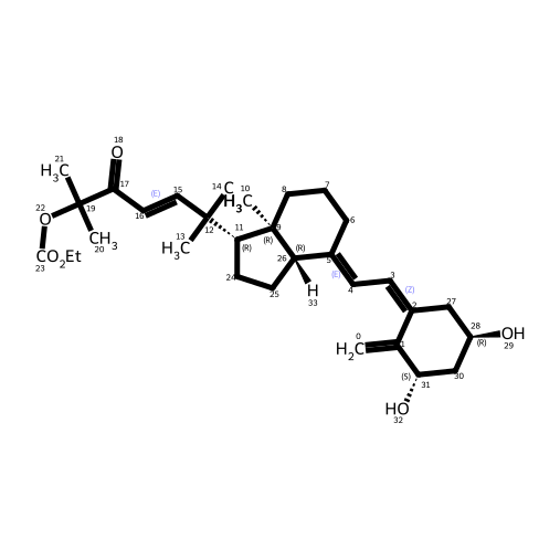 C=C1/C(=C\C=C2/CCC[C@]3(C)[C@@H](C(C)(C)/C=C/C(=O)C(C)(C)OC(=O)OCC)CC[C@@H]23)C[C@@H](O)C[C@@H]1O